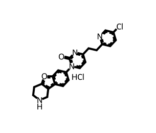 Cl.O=c1nc(CCc2ccc(Cl)cn2)ccn1-c1ccc2c3c(oc2c1)CCNC3